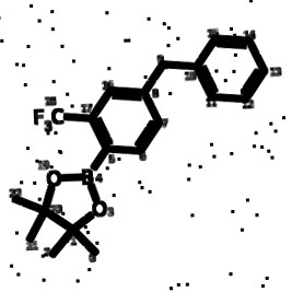 CC1(C)OB(c2ccc(Cc3ccccc3)cc2C(F)(F)F)OC1(C)C